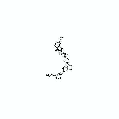 CN(C)N=Cc1ccc(C(=O)N2CCN(S(=O)(=O)c3cc4cc(Cl)ccc4[nH]3)CC2)c(F)c1